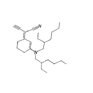 C#C/C(C#N)=C1/C=C(N(CC(CC)CCCC)CC(CC)CCCC)CCC1